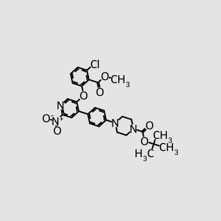 COC(=O)c1c(Cl)cccc1Oc1cnc([N+](=O)[O-])cc1-c1ccc(N2CCN(C(=O)OC(C)(C)C)CC2)cc1